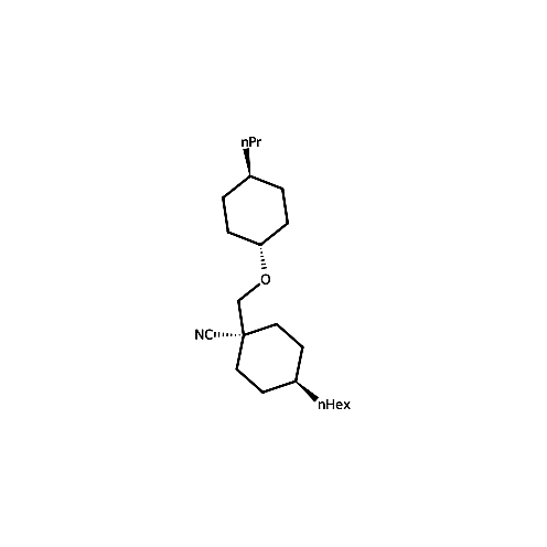 CCCCCC[C@H]1CC[C@@](C#N)(CO[C@H]2CC[C@H](CCC)CC2)CC1